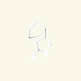 O=C1NCC2C3C=CC(CC3)C12